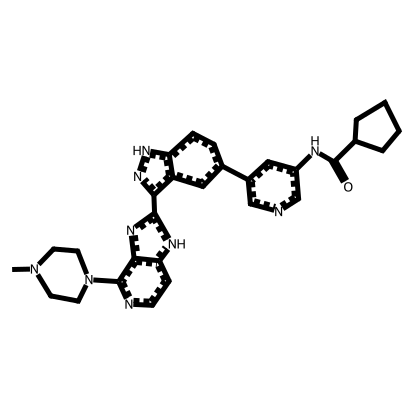 CN1CCN(c2nccc3[nH]c(-c4n[nH]c5ccc(-c6cncc(NC(=O)C7CCCC7)c6)cc45)nc23)CC1